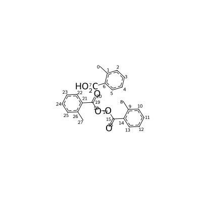 Cc1ccccc1C(=O)O.Cc1ccccc1C(=O)OOC(=O)c1ccccc1C